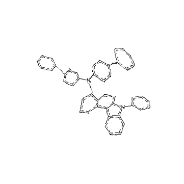 c1ccc(-c2ccc(N(c3ccc(-c4ccccc4)cc3)c3cccc4c3ccc3c4c4ccccc4n3-c3ccccc3)cc2)cc1